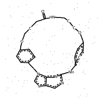 O=C1CCCOc2ccc(cc2)-n2cnc3cnc(nc32)Nc2ccc(cc2)OCCCN1